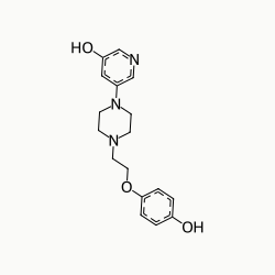 Oc1ccc(OCCN2CCN(c3cncc(O)c3)CC2)cc1